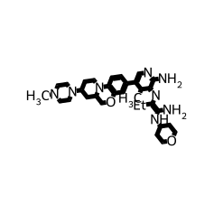 CCC(/N=C1/C(N)=NC=C(c2ccc3c(c2)OCC2CC(N4CCN(C)CC4)CCN32)C1C)=C(/N)NC1CCOCC1